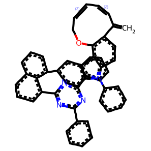 C=C1/C=C\C=C/COc2c1ccc1c2c2cc(-c3cccc4cccc(-c5nc(-c6ccccc6)nc(-c6ccccc6)n5)c34)ccc2n1-c1ccccc1